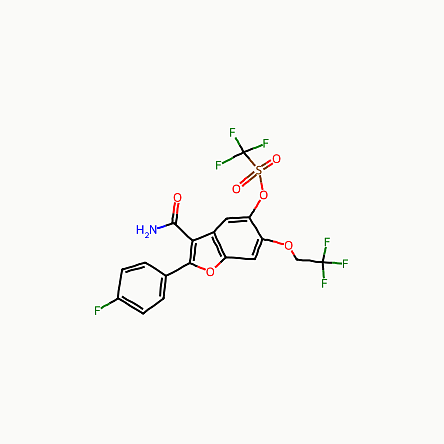 NC(=O)c1c(-c2ccc(F)cc2)oc2cc(OCC(F)(F)F)c(OS(=O)(=O)C(F)(F)F)cc12